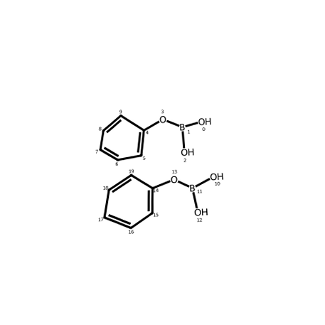 OB(O)Oc1ccccc1.OB(O)Oc1ccccc1